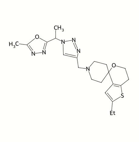 CCc1cc2c(s1)CCOC21CCN(Cc2cn(C(C)c3nnc(C)o3)nn2)CC1